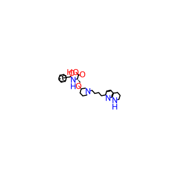 O=C(O)[C@@H](CO[C@@H]1CCCN(CCCCc2ccc3c(n2)NCCC3)C1)NC(=O)C12CCC(CC1)CC2